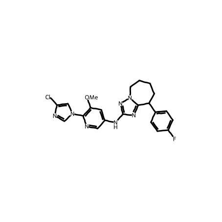 COc1cc(Nc2nc3n(n2)CCCCC3c2ccc(F)cc2)cnc1-n1cnc(Cl)c1